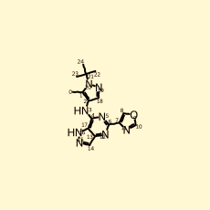 Cc1c(Nc2nc(-c3cocn3)nc3cn[nH]c23)cnn1C(C)(C)C